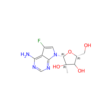 C[C@@]1(O)C(O)[C@@H](CO)O[C@H]1n1cc(F)c2c(N)ncnc21